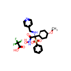 CO[C@H]1CC[C@H]([C@](NCc2ccncc2)(C(=O)NO)S(=O)(=O)c2ccccc2)CC1.O=C(O)C(F)(F)F